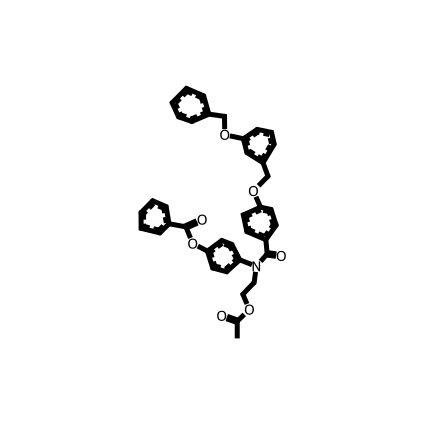 CC(=O)OCCN(C(=O)c1ccc(OCc2cccc(OCc3ccccc3)c2)cc1)c1ccc(OC(=O)c2ccccc2)cc1